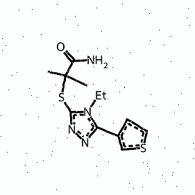 CCn1c(SC(C)(C)C(N)=O)nnc1-c1ccsc1